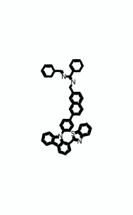 C1=CCCC(C(=N/Cc2ccc3ccc(-c4ccc(-n5c6ccccc6c6cccc(-c7nc8ccccc8s7)c65)cc4)cc3c2)/N=C/C2C=CC=CC2)=C1